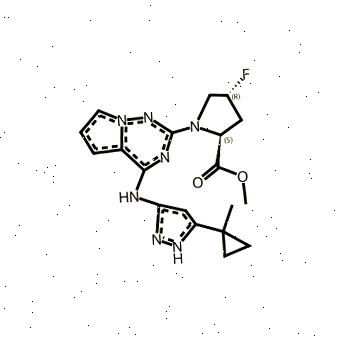 COC(=O)[C@@H]1C[C@@H](F)CN1c1nc(Nc2cc(C3(C)CC3)[nH]n2)c2cccn2n1